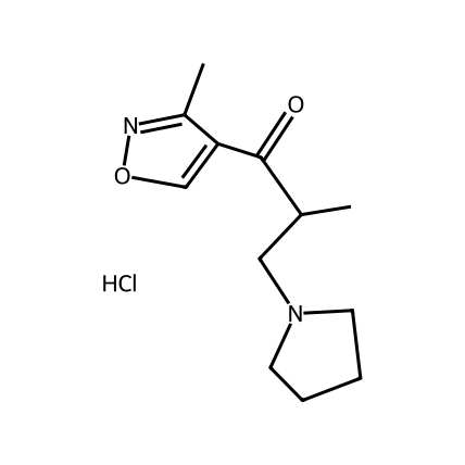 Cc1nocc1C(=O)C(C)CN1CCCC1.Cl